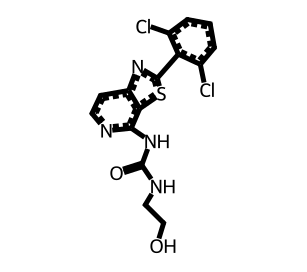 O=C(NCCO)Nc1nccc2nc(-c3c(Cl)cccc3Cl)sc12